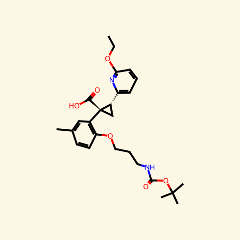 CCOc1cccc([C@@H]2C[C@]2(C(=O)O)c2cc(C)ccc2OCCCNC(=O)OC(C)(C)C)n1